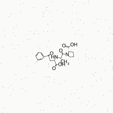 C[C@H](NC(CC(=O)c1ccccc1)C(=O)O)C(=O)N1CCC[C@H]1C(=O)O